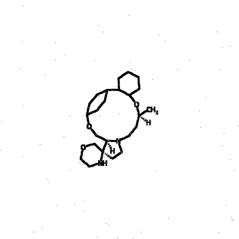 C[C@H]1CCN2CC[C@]3(COCCN3)[C@H]2COC2CCC(CC2)C2CCCCC2O1